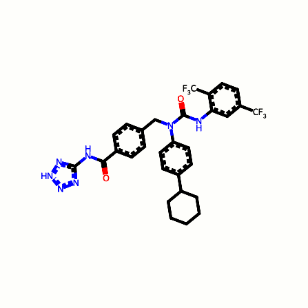 O=C(Nc1nn[nH]n1)c1ccc(CN(C(=O)Nc2cc(C(F)(F)F)ccc2C(F)(F)F)c2ccc(C3CCCCC3)cc2)cc1